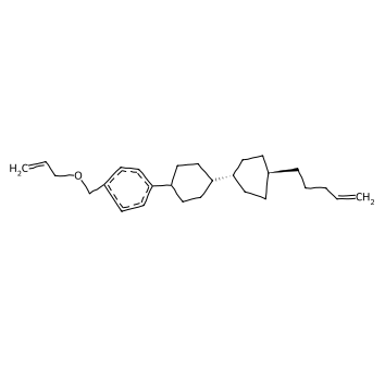 C=CCCC[C@H]1CC[C@H](C2CCC(c3ccc(COCC=C)cc3)CC2)CC1